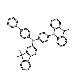 CN1c2ccccc2N(c2ccc(N(c3ccc(-c4ccccc4)cc3)c3ccc4c(c3)C(C)(C)c3ccccc3-4)cc2)c2ccccc21